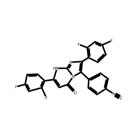 [C-]#[N+]c1ccc(-c2c(-c3ccc(F)cc3F)nc3[nH]c(-c4ccc(F)cc4F)cc(=O)n23)cc1